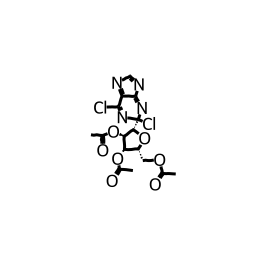 CC(=O)OC[C@H]1O[C@@H](C2(Cl)N=C(Cl)C3=NC=NC3=N2)[C@H](OC(C)=O)[C@H]1OC(C)=O